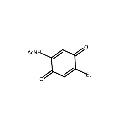 CCC1=CC(=O)C(NC(C)=O)=CC1=O